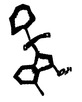 Cc1cccc2c1c(S(=O)(=O)O)cn2S(=O)(=O)c1ccccc1